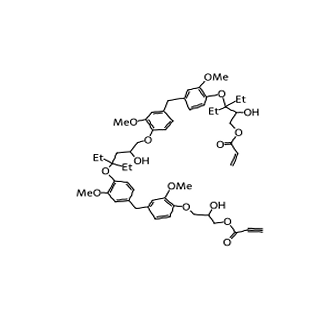 C#CC(=O)OCC(O)COc1ccc(Cc2ccc(OC(CC)(CC)CC(O)COc3ccc(Cc4ccc(OC(CC)(CC)C(O)COC(=O)C=C)c(OC)c4)cc3OC)c(OC)c2)cc1OC